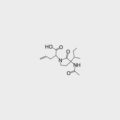 C=CCC(C(=O)O)N1CCC(NC(C)=O)(C(C)CC)C1=O